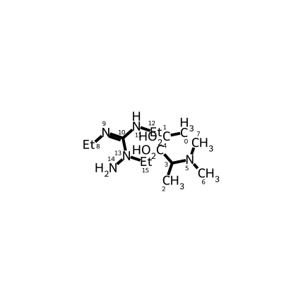 CC(=O)O.CC(C(=O)O)N(C)C.CCN=C(NCC)N(N)CC